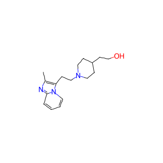 Cc1nc2ccccn2c1CCN1CCC(CCO)CC1